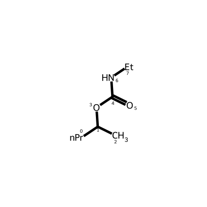 CCCC(C)OC(=O)NCC